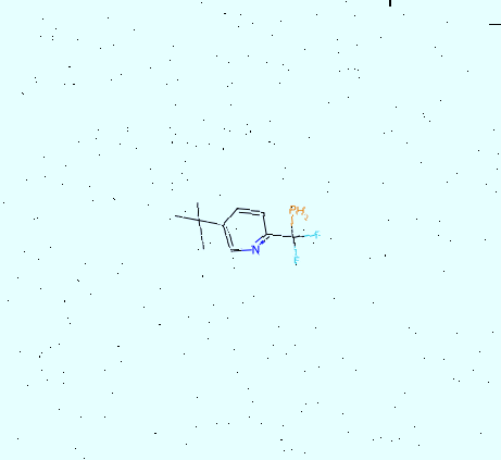 CC(C)(C)c1ccc(C(F)(F)P)nc1